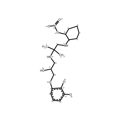 CC(C)(CNC1CCCCC1O[N+](=O)[O-])NCC(O)COc1cccc(Cl)c1Cl